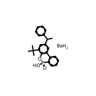 CC(c1ccccc1)c1cc2c(c(C(C)(C)C)c1)OP(=O)(O)c1ccccc1-2.[BaH2]